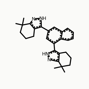 CC1(C)CCCc2c1n[nH]c2-c1cc(-c2[nH]nc3c2CCCC3(C)C)c2ccccc2c1